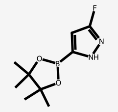 CC1(C)OB(c2cc(F)n[nH]2)OC1(C)C